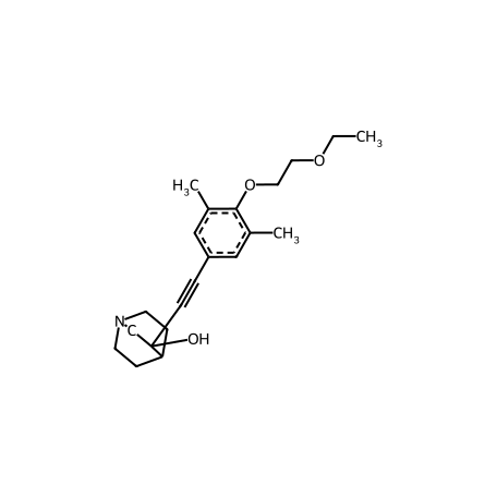 CCOCCOc1c(C)cc(C#CC2(O)CN3CCC2CC3)cc1C